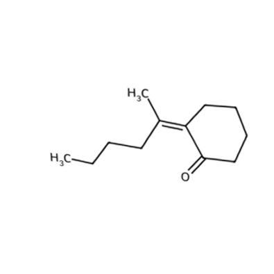 CCCCC(C)=C1CCCCC1=O